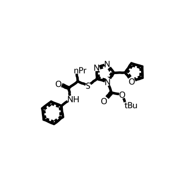 CCCC(Sc1nnc(-c2ccco2)n1C(=O)OC(C)(C)C)C(=O)Nc1ccccc1